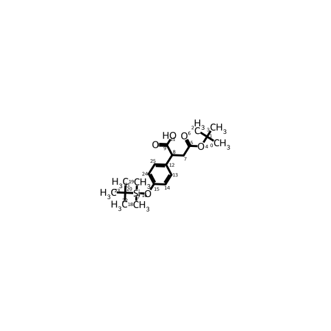 CC(C)(C)OC(=O)CC(C(=O)O)c1ccc(O[Si](C)(C)C(C)(C)C)cc1